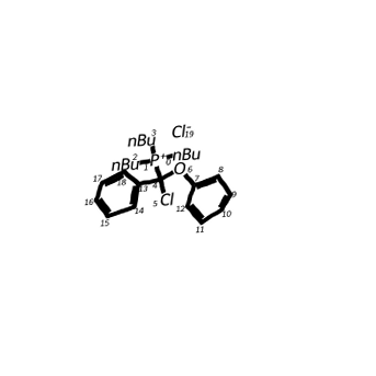 CCCC[P+](CCCC)(CCCC)C(Cl)(Oc1ccccc1)c1ccccc1.[Cl-]